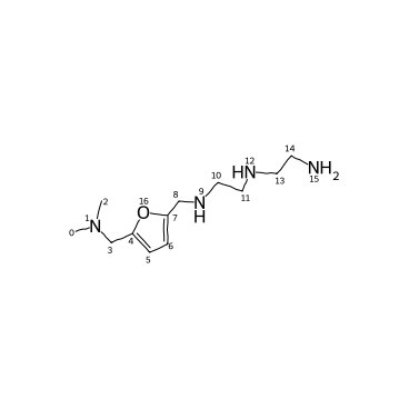 CN(C)Cc1ccc(CNCCNCCN)o1